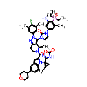 CCP(=O)(CC)c1c(C)cc(-n2ccn(-c3c4c(nn3-c3cc(C)c(F)c(C)c3)CCN(C(=O)c3cc5cc(C6CCOCC6)ccc5n3C3(c5noc(=O)[nH]5)CC3C)C4C)c2=O)cc1NC